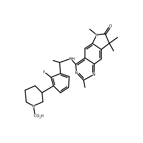 Cc1nc(NC(C)c2cccc(C3CCCN(C(=O)O)C3)c2F)c2cc3c(cc2n1)C(C)(C)C(=O)N3C